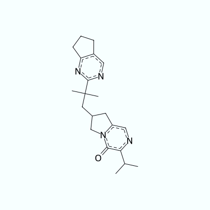 CC(C)c1ncc2n(c1=O)CC(CC(C)(C)c1ncc3c(n1)CCC3)C2